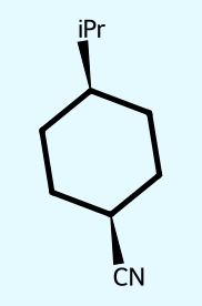 CC(C)[C@H]1CC[C@@H](C#N)CC1